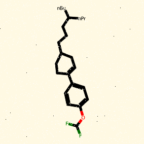 CCCCC(CCC)CCCC1CC=C(c2ccc(OC(F)F)cc2)CC1